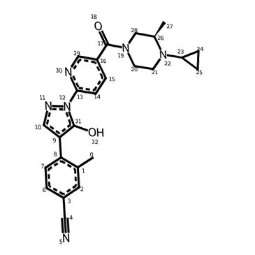 Cc1cc(C#N)ccc1-c1cnn(-c2ccc(C(=O)N3CCN(C4CC4)[C@H](C)C3)cn2)c1O